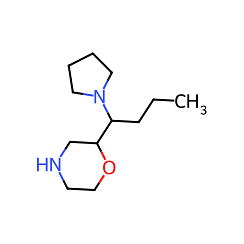 CCCC(C1CNCCO1)N1CCCC1